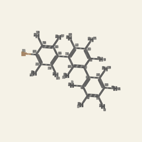 [2H]c1c([2H])c([2H])c(-c2c([2H])c([2H])c([2H])c(-c3c([2H])c([2H])c(Br)c([2H])c3[2H])c2[2H])c([2H])c1[2H]